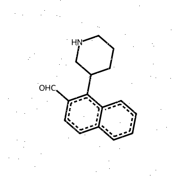 O=Cc1ccc2ccccc2c1C1CCCNC1